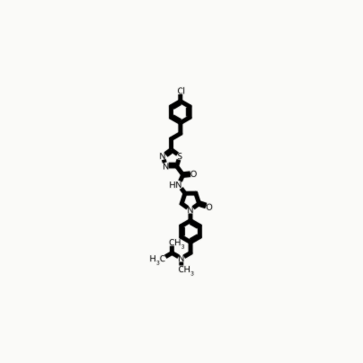 CC(C)N(C)Cc1ccc(N2CC(NC(=O)c3nnc(CCc4ccc(Cl)cc4)s3)CC2=O)cc1